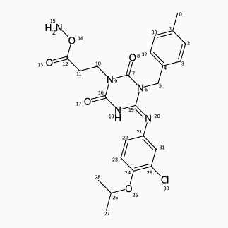 Cc1ccc(Cn2c(=O)n(CCC(=O)ON)c(=O)[nH]/c2=N\c2ccc(OC(C)C)c(Cl)c2)cc1